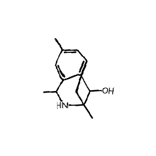 Cc1cc2c3c(c1)C(C)NC(C)(C2)C3O